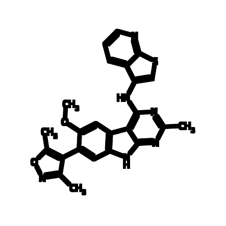 COc1cc2c(cc1-c1c(C)noc1C)[nH]c1nc(C)nc(Nc3csc4ncccc34)c12